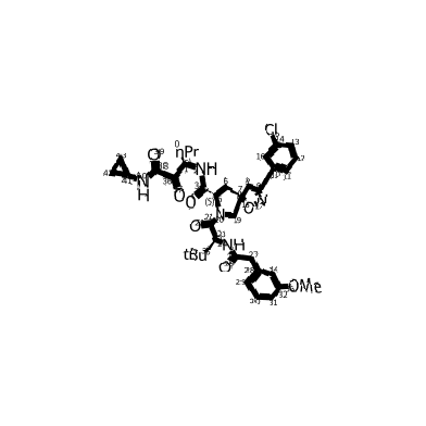 CCC[C@H](NC(=O)[C@@H]1C[C@]2(CC(c3cccc(Cl)c3)=NO2)CN1C(=O)[C@@H](NC(=O)Cc1cccc(OC)c1)C(C)(C)C)C(=O)C(=O)NC1CC1